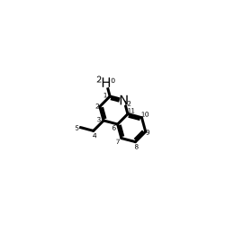 [2H]c1cc(CC)c2ccccc2n1